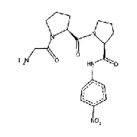 NCC(=O)N1CCC[C@H]1C(=O)N1CCC[C@H]1C(=O)Nc1ccc([N+](=O)[O-])cc1